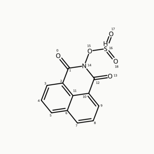 O=C1c2cccc3cccc(c23)C(=O)N1O[SH](=O)=O